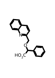 O=C(O)C(OCc1ccc2ccccc2n1)c1ccccc1